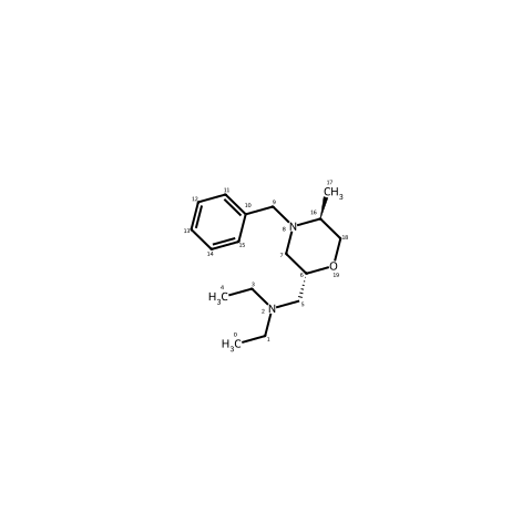 CCN(CC)C[C@@H]1CN(Cc2ccccc2)[C@@H](C)CO1